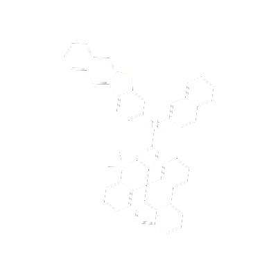 C[Si]1(C)c2ccccc2C2(c3ccccc3-c3cccc4cccc2c34)c2ccc(N(c3ccc4ccccc4c3)c3ccc4c(c3)sc3cc5ccccc5cc34)cc21